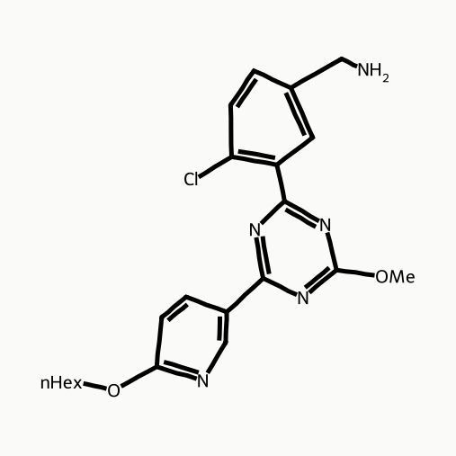 CCCCCCOc1ccc(-c2nc(OC)nc(-c3cc(CN)ccc3Cl)n2)cn1